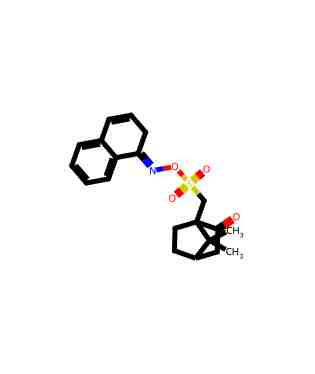 CC1(C)C2CCC1(CS(=O)(=O)ON=C1CC=Cc3ccccc31)C(=O)C2